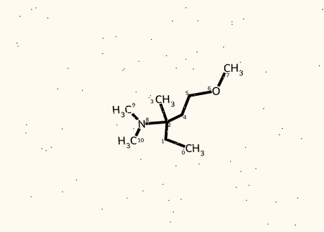 CCC(C)(CCOC)N(C)C